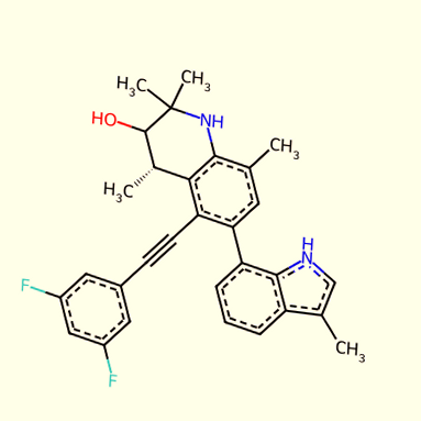 Cc1cc(-c2cccc3c(C)c[nH]c23)c(C#Cc2cc(F)cc(F)c2)c2c1NC(C)(C)C(O)[C@H]2C